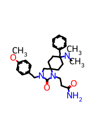 COc1ccc(CN2CC3(CCC(c4ccccc4)(N(C)C)CC3)N(CCC(N)=O)C2=O)cc1